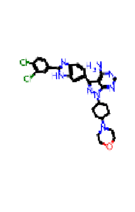 Nc1ncnc2c1c(-c1ccc3nc(-c4ccc(Cl)c(Cl)c4)[nH]c3c1)nn2C1CCC(N2CCOCC2)CC1